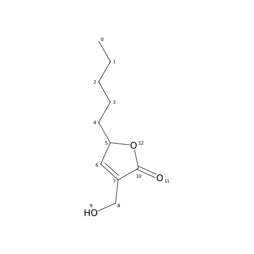 CCCCCC1C=C(CO)C(=O)O1